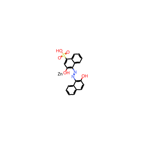 O=S(=O)(O)c1cc(O)c(N=Nc2c(O)ccc3ccccc23)c2ccccc12.[Zn]